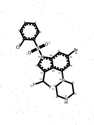 O=S(=O)(c1ccccc1Cl)n1cc(C(F)F)c2c(N3CCNCC3)cc(Br)cc21